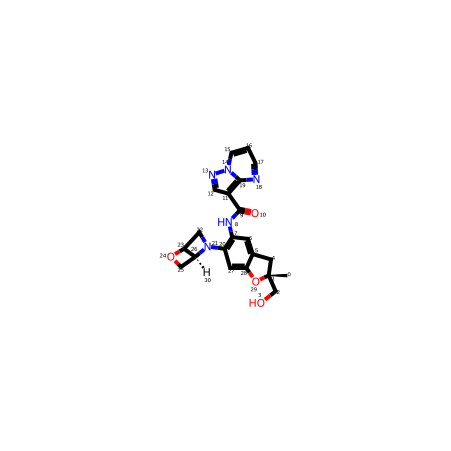 C[C@]1(CO)Cc2cc(NC(=O)c3cnn4cccnc34)c(N3CC4OC[C@@H]43)cc2O1